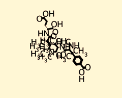 CN[C@H](C(=O)N[C@H](C(=O)N(C)[C@H](/C=C(\C)C(=O)N[C@H](CCC(=O)O)C(=O)O)C(C)C)C(C)(C)C)C(C)(C)c1ccc(C(=O)O)cc1